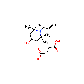 C=CCN1C(C)(C)CC(O)CC1(C)C.O=C(O)CCC(=O)O